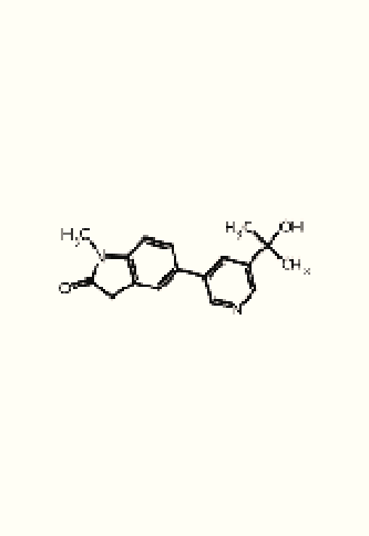 CN1C(=O)Cc2cc(-c3cncc(C(C)(C)O)c3)ccc21